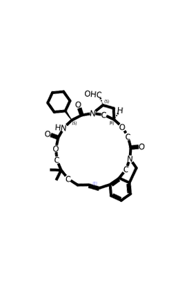 CC1(C)CC/C=C/c2cccc3c2CN(C3)C(=O)CO[C@@H]2C[C@@H](C=O)N(C2)C(=O)[C@H](C2CCCCC2)NC(=O)OC1